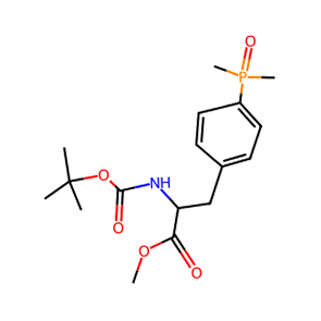 COC(=O)C(Cc1ccc(P(C)(C)=O)cc1)NC(=O)OC(C)(C)C